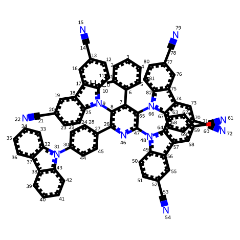 Cc1ccccc1-c1c(-n2c3ccc(C#N)cc3c3cc(C#N)ccc32)c(-c2ccc(-n3c4ccccc4c4ccccc43)cc2)nc(-n2c3ccc(C#N)cc3c3cc(C#N)ccc32)c1-n1c2ccc(C#N)cc2c2cc(C#N)ccc21